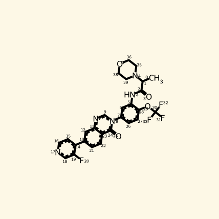 CC(C(=O)Nc1cc(-n2cnc3cc(-c4ccncc4F)ccc3c2=O)ccc1OC(F)(F)F)N1CCOCC1